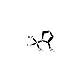 Cc1cncn1[Si](C)(C)C